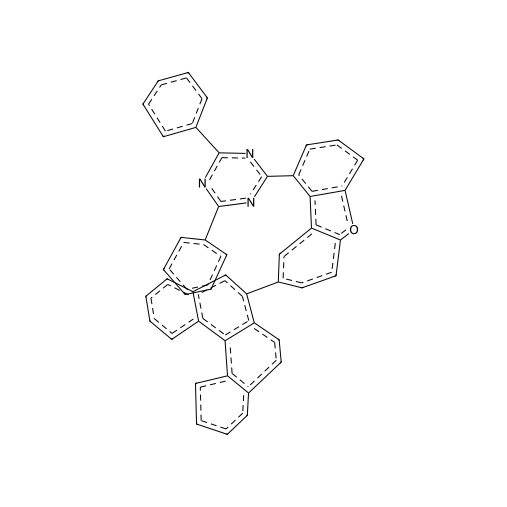 c1ccc(-c2nc(-c3ccccc3)nc(-c3cccc4oc5ccc(-c6cc7ccccc7c7c6ccc6ccccc67)cc5c34)n2)cc1